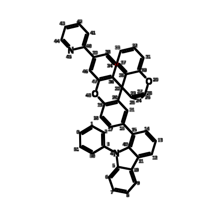 c1ccc(-n2c3ccccc3c3cccc(-c4ccc5c(c4)C4(c6ccccc6Oc6ccccc64)c4ccc(-c6ccccn6)cc4O5)c32)cc1